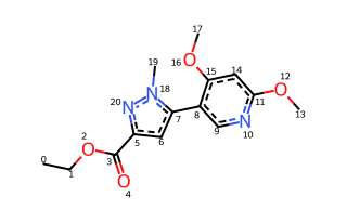 CCOC(=O)c1cc(-c2cnc(OC)cc2OC)n(C)n1